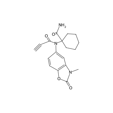 C#CC(=O)N(c1ccc2oc(=O)n(C)c2c1)C1(C(N)=O)CCCCC1